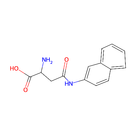 NC(CC(=O)Nc1ccc2ccccc2c1)C(=O)O